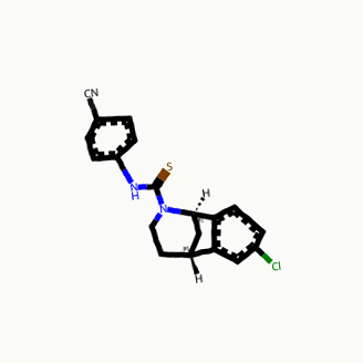 N#Cc1ccc(NC(=S)N2CC[C@@H]3C[C@@H]2c2ccc(Cl)cc23)cc1